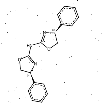 c1ccc([C@H]2COC(NC3=N[C@@H](c4ccccc4)CO3)=N2)cc1